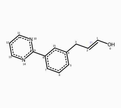 O/C=C/Cc1cccc(-c2ncccn2)c1